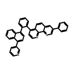 c1ccc(-c2cnc3c(ccc4c(-c5ccccc5-c5ccc(-c6cccnc6)c6ccccc56)ccnc43)c2)cc1